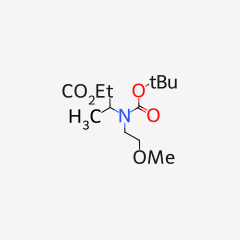 CCOC(=O)C(C)N(CCOC)C(=O)OC(C)(C)C